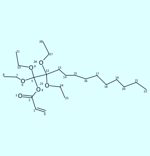 C=CC(=O)OC(OCC)(OCC)C(CCCCCCCCCC)(OCC)OCC